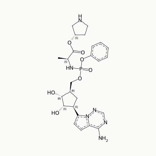 C[C@H](NP(=O)(OC[C@H]1C[C@@H](c2ccc3c(N)ncnn23)[C@H](O)[C@@H]1O)Oc1ccccc1)C(=O)O[C@H]1CCNC1